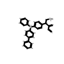 C=CC(=C)C(CO)c1ccc(N(c2ccccc2)c2ccc(-c3ccccc3)cc2)cc1